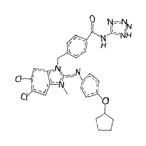 Cn1c(=Nc2ccc(OC3CCCC3)cc2)n(Cc2ccc(C(=O)Nc3nnn[nH]3)cc2)c2cc(Cl)c(Cl)cc21